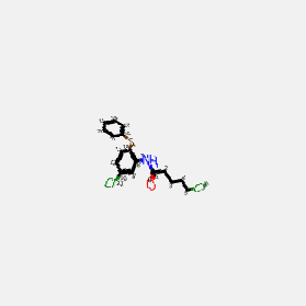 O=C(CCCCCl)Nc1cc(Cl)ccc1Sc1ccccc1